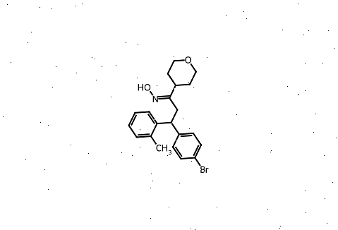 Cc1ccccc1C(C/C(=N/O)C1CCOCC1)c1ccc(Br)cc1